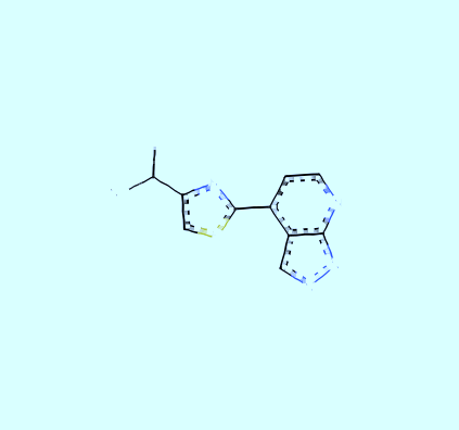 CCC(C#N)c1csc(-c2ccnc3[nH]ncc23)n1